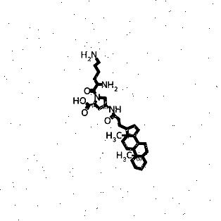 C[C@]12CCCCC1CCC1C2CC[C@]2(C)C(CCC(=O)N[C@H]3C[C@@H](C(=O)O)N(C(=O)C(N)CCCCN)C3)CCC12